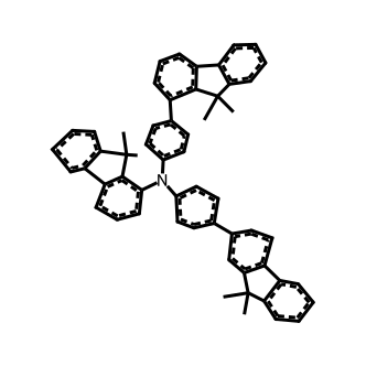 CC1(C)c2ccccc2-c2ccc(-c3ccc(N(c4ccc(-c5cccc6c5C(C)(C)c5ccccc5-6)cc4)c4cccc5c4C(C)(C)c4ccccc4-5)cc3)cc21